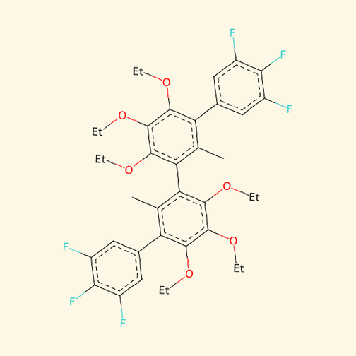 CCOc1c(OCC)c(-c2cc(F)c(F)c(F)c2)c(C)c(-c2c(C)c(-c3cc(F)c(F)c(F)c3)c(OCC)c(OCC)c2OCC)c1OCC